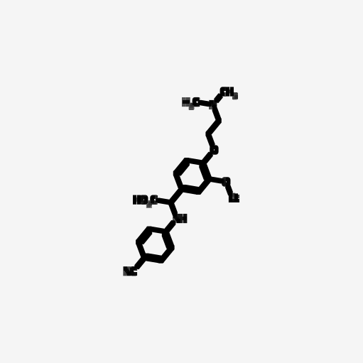 CCOc1cc(C(Nc2ccc(C#N)cc2)C(=O)O)ccc1OCCN(C)C